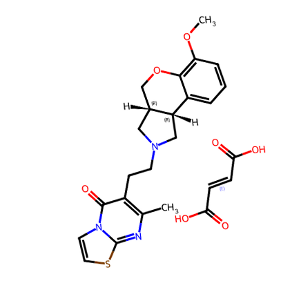 COc1cccc2c1OC[C@H]1CN(CCc3c(C)nc4sccn4c3=O)C[C@@H]21.O=C(O)/C=C/C(=O)O